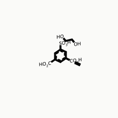 C=C.O=C(O)c1cc(C(=O)O)cc(S(=O)(=O)O)c1.OCCO